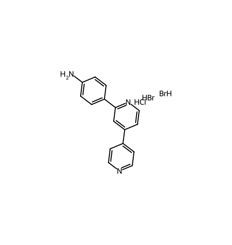 Br.Br.Cl.Nc1ccc(-c2cc(-c3ccncc3)ccn2)cc1